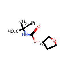 CC(C)C(C)(NC(=O)O[C@H]1CCOC1)C(=O)O